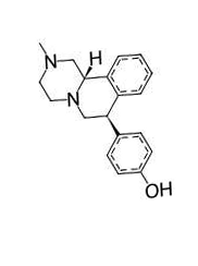 CN1CCN2C[C@H](c3ccc(O)cc3)c3ccccc3[C@H]2C1